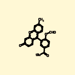 Cc1ccc2c(-c3cc(C(=O)C(C)(C)C)ccc3OC=O)c3ccc(=O)cc-3oc2c1